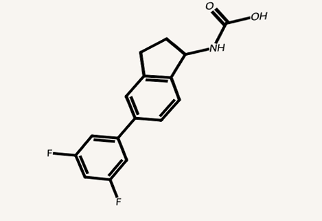 O=C(O)NC1CCc2cc(-c3cc(F)cc(F)c3)ccc21